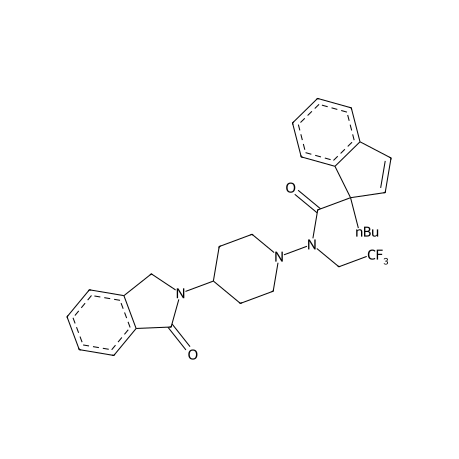 CCCCC1(C(=O)N(CC(F)(F)F)N2CCC(N3Cc4ccccc4C3=O)CC2)C=Cc2ccccc21